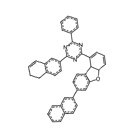 C1=CC2Oc3cc(-c4ccc5ccccc5c4)ccc3C2C(c2nc(-c3ccccc3)nc(-c3ccc4c(c3)C=CCC4)n2)=C1